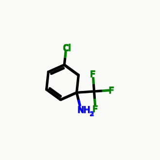 NC1(C(F)(F)F)C=CC=C(Cl)C1